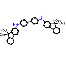 CCCCCCCCC1(CCCCCCCC)c2ccccc2-c2ccc(Nc3ccc(-c4ccc(Nc5ccc6c(c5)C(CCCCCCCC)(CCCCCCCC)c5ccccc5-6)cc4)cc3)cc21